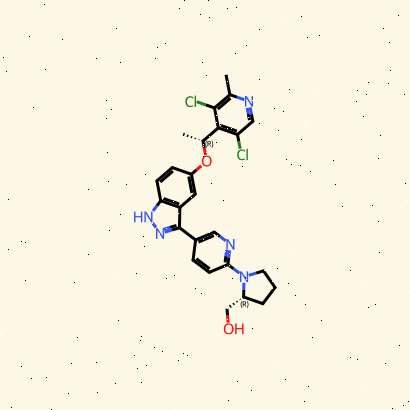 Cc1ncc(Cl)c([C@@H](C)Oc2ccc3[nH]nc(-c4ccc(N5CCC[C@@H]5CO)nc4)c3c2)c1Cl